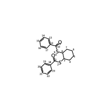 O=C(SC1CCCCC1SC(=O)c1ccccc1)c1ccccc1